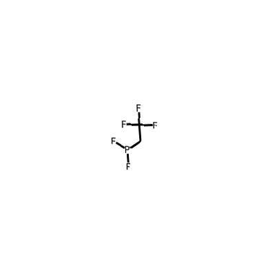 FP(F)CC(F)(F)F